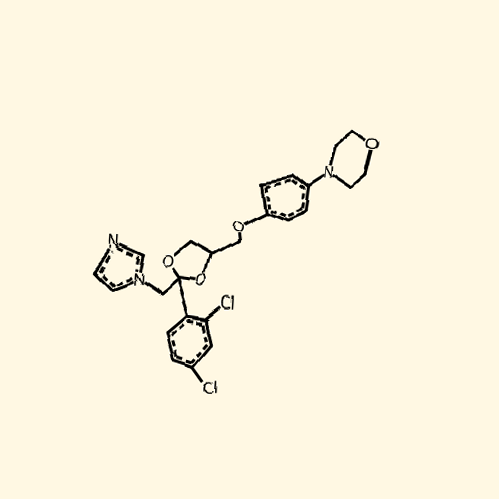 Clc1ccc(C2(Cn3ccnc3)OCC(COc3ccc(N4CCOCC4)cc3)O2)c(Cl)c1